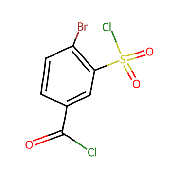 O=C(Cl)c1ccc(Br)c(S(=O)(=O)Cl)c1